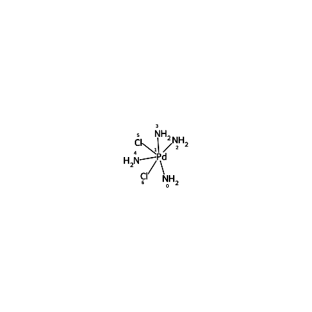 [NH2][Pd]([NH2])([NH2])([NH2])([Cl])[Cl]